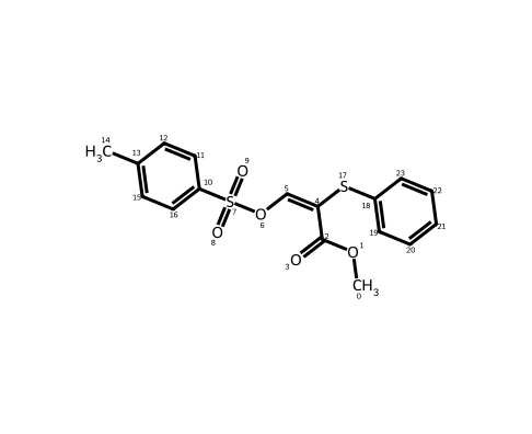 COC(=O)/C(=C\OS(=O)(=O)c1ccc(C)cc1)Sc1ccccc1